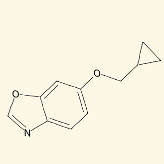 c1nc2ccc(OCC3CC3)cc2o1